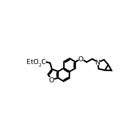 CCOC(=O)Cc1coc2ccc3cc(OCCN4CC5CC5C4)ccc3c12